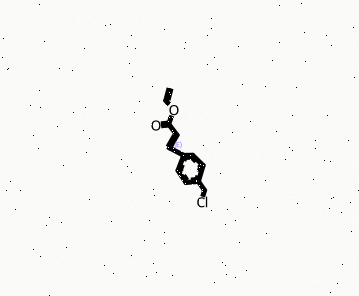 C=COC(=O)/C=C/c1ccc(CCl)cc1